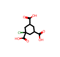 O=C(O)C1CC(C(=O)O)CC(Cl)(C(=O)O)C1